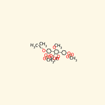 COc1cc(-c2ccc(OS(C)(=O)=O)cc2)c(OC)c(C(=O)O)c1-c1ccc(OCC=C(C)C)c(OS(C)(=O)=O)c1